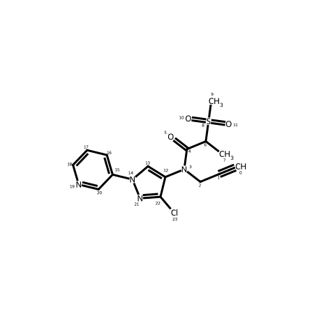 C#CCN(C(=O)C(C)S(C)(=O)=O)c1cn(-c2cccnc2)nc1Cl